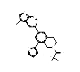 Cc1c[nH]c2nnc(-c3cc4c(c(-c5ccc[nH]5)c3)CN(C(=O)[C@](C)(O)C(F)(F)F)CC4)cc12